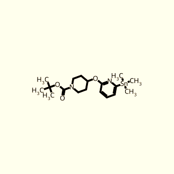 CC(C)(C)OC(=O)N1CCC(Oc2ccc[c]([Sn]([CH3])([CH3])[CH3])n2)CC1